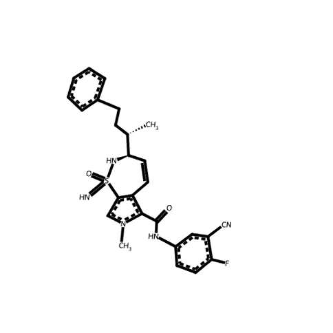 C[C@@H](CCc1ccccc1)[C@H]1C=Cc2c(cn(C)c2C(=O)Nc2ccc(F)c(C#N)c2)S(=N)(=O)N1